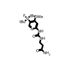 COc1cc(NC(=O)NCCC(N)=O)ncc1[Si](F)(C(C)(C)C)C(C)(C)C